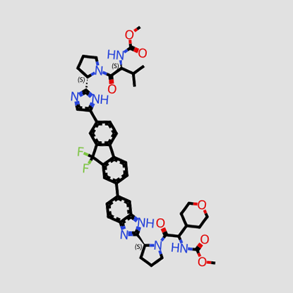 COC(=O)NC(C(=O)N1CCC[C@H]1c1nc2ccc(-c3ccc4c(c3)C(F)(F)c3cc(-c5cnc([C@@H]6CCCN6C(=O)[C@@H](NC(=O)OC)C(C)C)[nH]5)ccc3-4)cc2[nH]1)C1CCOCC1